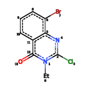 CCn1c(Cl)nc2c(Br)cccc2c1=O